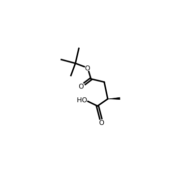 C[C@H](CC(=O)OC(C)(C)C)C(=O)O